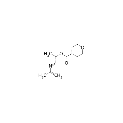 C=C(C)N=CC(C)OC(=O)C1CCOCC1